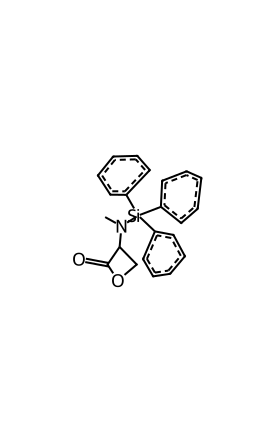 CN(C1COC1=O)[Si](c1ccccc1)(c1ccccc1)c1ccccc1